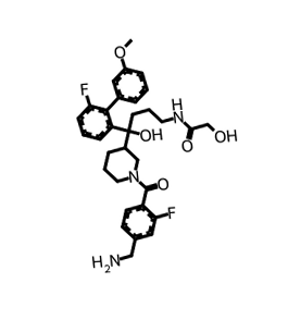 COc1cccc(-c2c(F)cccc2C(O)(CCCNC(=O)CO)C2CCCN(C(=O)c3ccc(CN)cc3F)C2)c1